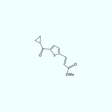 COC(=O)/C=C/c1ccc(C(=O)C2CC2)s1